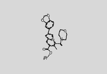 C=C(c1c(C)c(C(=O)OC(C)C)cc2cc(-c3ccc4c(c3)OCO4)cn12)N1CCOCC1